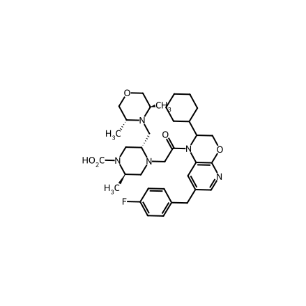 C[C@@H]1CN(CC(=O)N2c3cc(Cc4ccc(F)cc4)cnc3OCC2C2CCCCC2)[C@@H](CN2[C@H](C)COC[C@H]2C)CN1C(=O)O